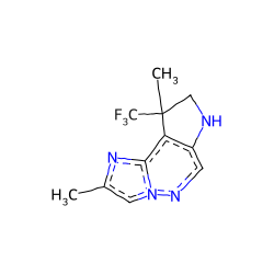 Cc1cn2ncc3c(c2n1)C(C)(C(F)(F)F)CN3